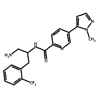 Cn1nccc1-c1ccc(C(=O)NC(CN)Cc2ccccc2C(F)(F)F)nc1